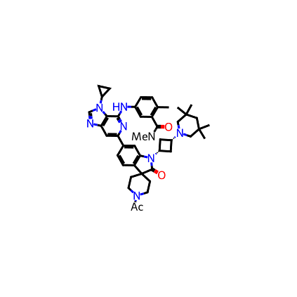 CNC(=O)c1cc(Nc2nc(-c3ccc4c(c3)N([C@H]3C[C@@H](N5CC(C)(C)CC(C)(C)C5)C3)C(=O)C43CCN(C(C)=O)CC3)cc3ncn(C4CC4)c23)ccc1C